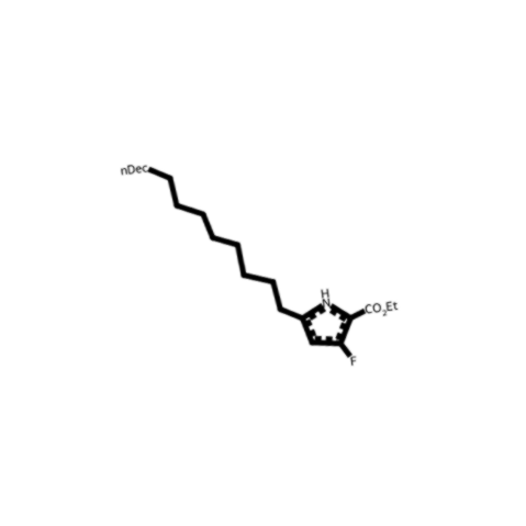 CCCCCCCCCCCCCCCCCCc1cc(F)c(C(=O)OCC)[nH]1